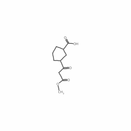 COC(=O)CC(=O)C1CCCC(C(=O)O)C1